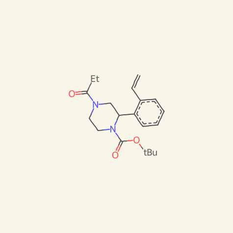 C=Cc1ccccc1C1CN(C(=O)CC)CCN1C(=O)OC(C)(C)C